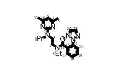 CCN(CCN(c1nc(C)cc(C)n1)C(C)C)C(=O)c1ccccc1-n1nccn1